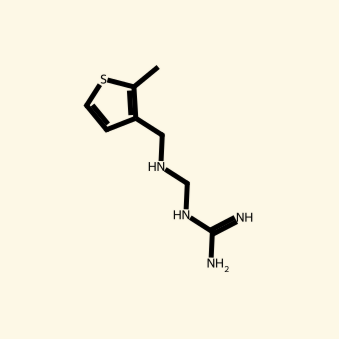 Cc1sccc1CNCNC(=N)N